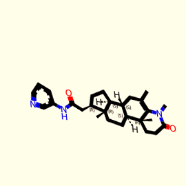 CC1=C2N(C)C(=O)CC[C@]2(C)[C@H]2CC[C@]3(C)[C@@H](CC(=O)Nc4cccnc4)CC[C@H]3[C@@H]2C1